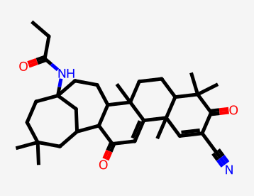 CCC(=O)NC12CCC3C(C(=O)C=C4C5(C)C=C(C#N)C(=O)C(C)(C)C5CCC43C)C(CC(C)(C)CC1)C2